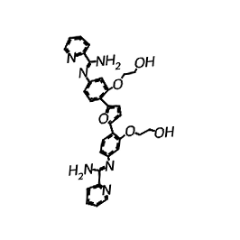 NC(=Nc1ccc(-c2ccc(-c3ccc(N=C(N)c4ccccn4)cc3OCCO)o2)c(OCCO)c1)c1ccccn1